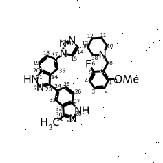 COc1cccc(F)c1CN1CCC[C@@H](c2cn(-c3ccc4[nH]nc(-c5ccc6[nH]nc(C)c6c5)c4c3)nn2)C1